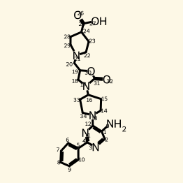 Nc1cnc(-c2ccccc2)nc1N1CCC(N2CC(CN3CCC(C(=O)O)CC3)OC2=O)CC1